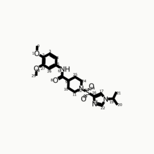 COc1ccc(NC(=O)C2CCN(S(=O)(=O)c3cn(C(C)C)cn3)CC2)cc1OC